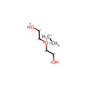 CC.OCCOCCO